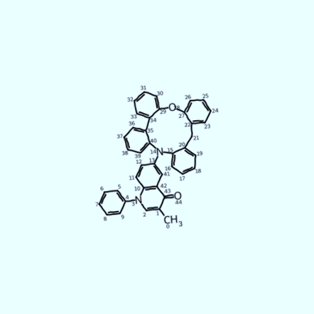 Cc1cn(-c2ccccc2)c2ccc(N3c4ccccc4Cc4ccccc4Oc4ccccc4-c4ccccc43)cc2c1=O